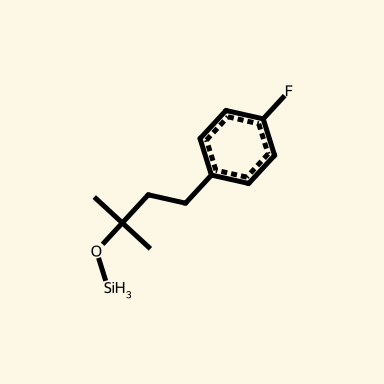 CC(C)(CCc1ccc(F)cc1)O[SiH3]